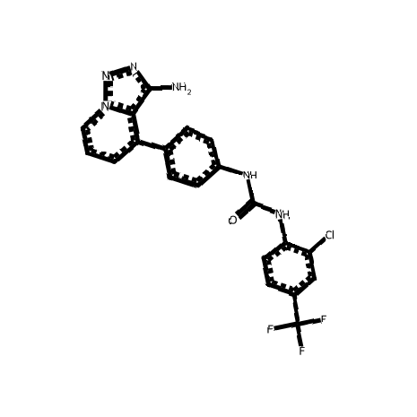 Nc1nnn2cccc(-c3ccc(NC(=O)Nc4ccc(C(F)(F)F)cc4Cl)cc3)c12